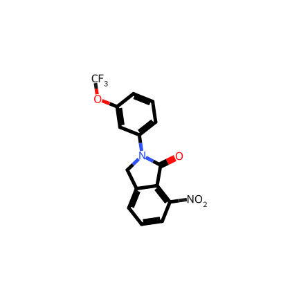 O=C1c2c(cccc2[N+](=O)[O-])CN1c1cccc(OC(F)(F)F)c1